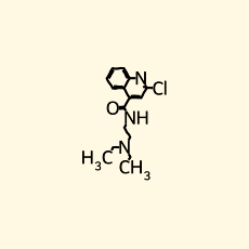 CCN(CC)CCNC(=O)c1cc(Cl)nc2ccccc12